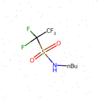 CCCCNS(=O)(=O)C(F)(F)C(F)(F)F